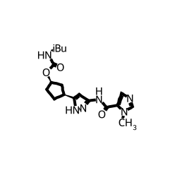 CC[C@H](C)NC(=O)O[C@@H]1CC[C@H](c2cc(NC(=O)c3cncn3C)n[nH]2)C1